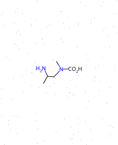 CC(N)CN(C)C(=O)O